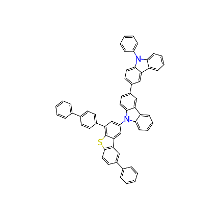 c1ccc(-c2ccc(-c3cc(-n4c5ccccc5c5cc(-c6ccc7c(c6)c6ccccc6n7-c6ccccc6)ccc54)cc4c3sc3ccc(-c5ccccc5)cc34)cc2)cc1